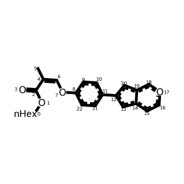 CCCCCCOC(=O)C(C)=COc1ccc(-c2cc3ccocc-3c2)cc1